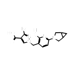 Cc1nc(N2CC3CC3C2)ccc1Cn1cc(C(=O)O)c(Br)n1